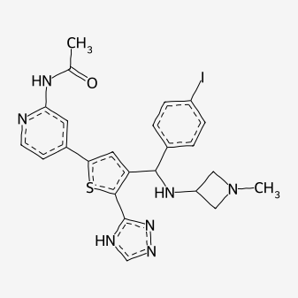 CC(=O)Nc1cc(-c2cc(C(NC3CN(C)C3)c3ccc(I)cc3)c(-c3nnc[nH]3)s2)ccn1